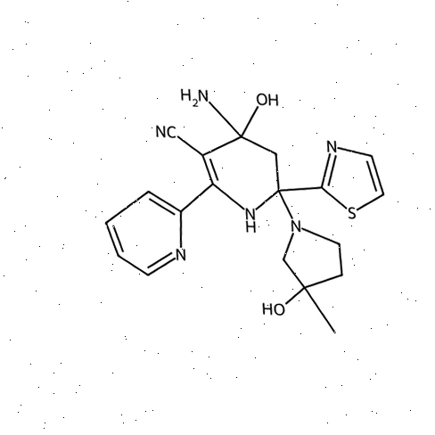 CC1(O)CCN(C2(c3nccs3)CC(N)(O)C(C#N)=C(c3ccccn3)N2)C1